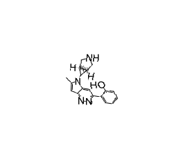 Cc1cc2nnc(-c3ccccc3O)cc2n1C1[C@H]2CNC[C@@H]12